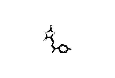 C/C(=C/C=C1/OC(=O)NC1=O)c1ccc(C)cc1